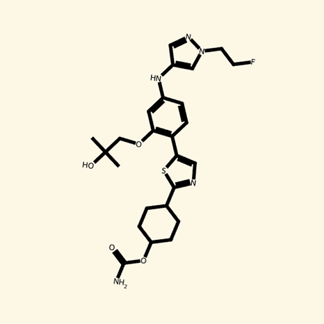 CC(C)(O)COc1cc(Nc2cnn(CCF)c2)ccc1-c1cnc(C2CCC(OC(N)=O)CC2)s1